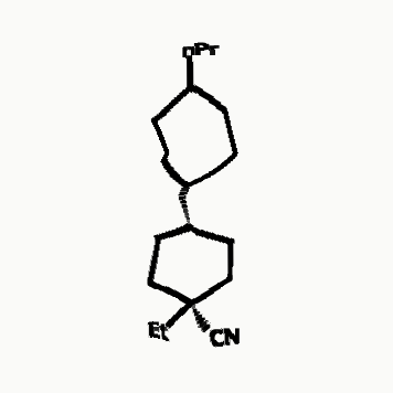 CCCC1CCC([C@H]2CC[C@](C#N)(CC)CC2)CC1